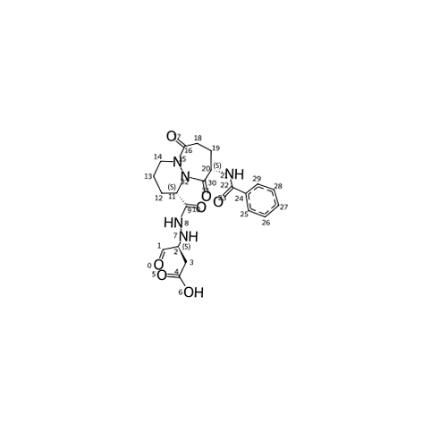 O=C[C@H](CC(=O)O)NNC(=O)[C@@H]1CCCN2C(=O)CC[C@H](NC(=O)c3ccccc3)C(=O)N12